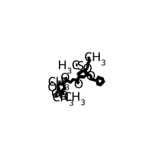 CCCOc1c(OCc2ccccc2)cc(C(=O)CCC(=O)c2cc(OC)c(OC)c(OC)c2)cc1SC